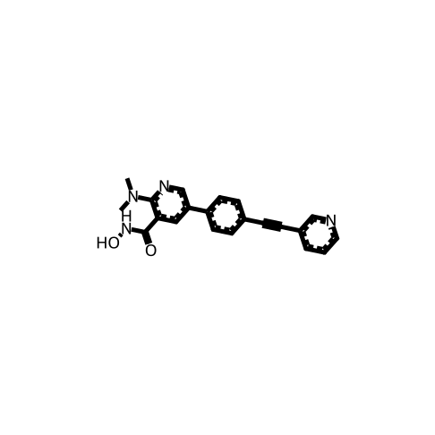 CN(C)c1ncc(-c2ccc(C#Cc3cccnc3)cc2)cc1C(=O)NO